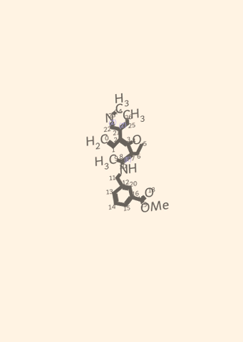 C=CC(=C1OCC/C1=C(/C)NCc1cccc(C(=O)OC)c1)C(/C=N\C)=C/C